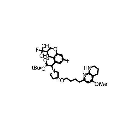 COc1cc(CCCCO[C@@H]2CCN(C(C(=O)OC(C)(C)C)c3cc(F)cc4c3CC(C(C)(C)F)CO4)C2)nc2c1CCCN2